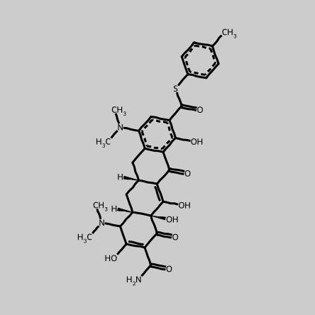 Cc1ccc(SC(=O)c2cc(N(C)C)c3c(c2O)C(=O)C2=C(O)[C@]4(O)C(=O)C(C(N)=O)=C(O)C(N(C)C)[C@@H]4C[C@@H]2C3)cc1